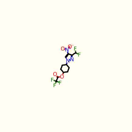 O=C(OC1CCC(n2cc([N+](=O)[O-])c(C(F)F)n2)CC1)C(F)(F)F